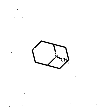 CN1C2[CH]CCC1CCC2